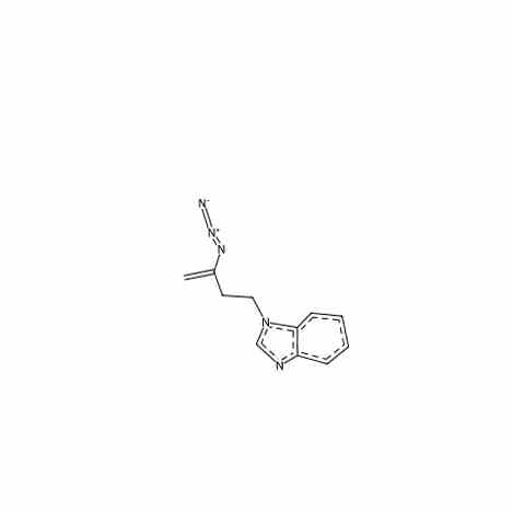 C=C(CCn1cnc2ccccc21)N=[N+]=[N-]